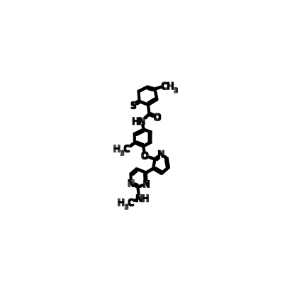 CNc1nccc(-c2cccnc2Oc2ccc(NC(=O)C3=CC(C)=CCC3=S)cc2C)n1